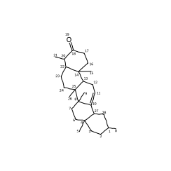 CC1CCC2(C)CCC3(C)C(=CCC4C5(C)CCC(=O)C(C)C5CCC43C)C2C1